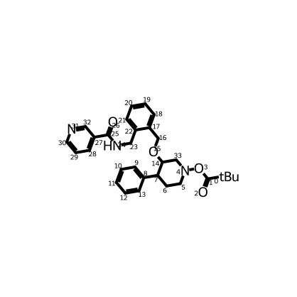 CC(C)(C)C(=O)ON1CCC(c2ccccc2)C(OCc2ccccc2CNC(=O)c2cccnc2)C1